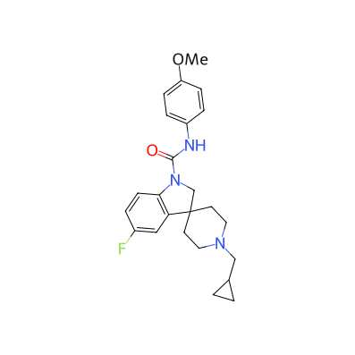 COc1ccc(NC(=O)N2CC3(CCN(CC4CC4)CC3)c3cc(F)ccc32)cc1